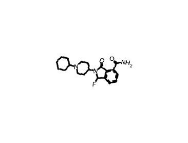 NC(=O)c1cccc2c1C(=O)N(C1CCN(C3CCCCC3)CC1)C2F